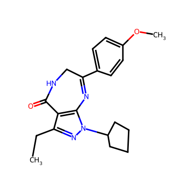 CCc1nn(C2CCCC2)c2c1C(=O)NCC(c1ccc(OC)cc1)=N2